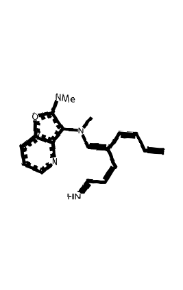 C=C\C=C/C(/C=C\C=N)=C\N(C)c1c(NC)oc2cccnc12